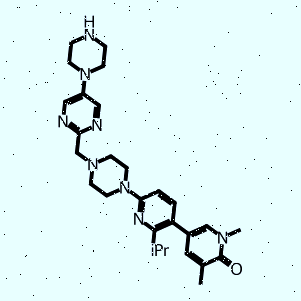 Cc1cc(-c2ccc(N3CCN(Cc4ncc(N5CCNCC5)cn4)CC3)nc2C(C)C)cn(C)c1=O